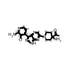 CC(=O)C1(N)CCN(c2cnc3c(-c4ccnc(N)c4Cl)n[nH]c3n2)CC1